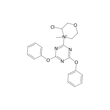 C[N+]1(c2nc(Oc3ccccc3)nc(Oc3ccccc3)n2)CCOCC1Cl